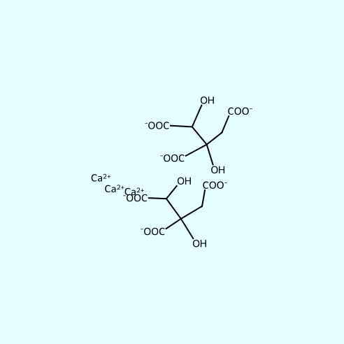 O=C([O-])CC(O)(C(=O)[O-])C(O)C(=O)[O-].O=C([O-])CC(O)(C(=O)[O-])C(O)C(=O)[O-].[Ca+2].[Ca+2].[Ca+2]